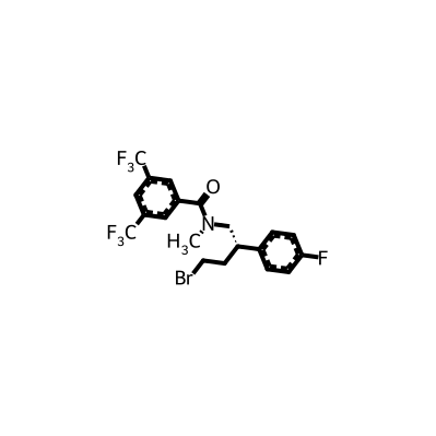 CN(C[C@@H](CCBr)c1ccc(F)cc1)C(=O)c1cc(C(F)(F)F)cc(C(F)(F)F)c1